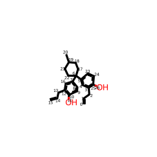 C=CCc1cc(C2(c3ccc(O)c(CC=C)c3)CCC(C)CC2)ccc1O